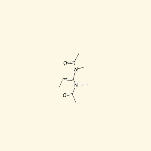 CC=C(N(C)C(C)=O)N(C)C(C)=O